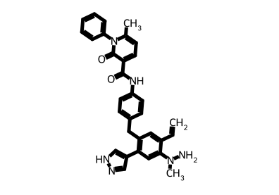 C=Cc1cc(Cc2ccc(NC(=O)c3ccc(C)n(-c4ccccc4)c3=O)cc2)c(-c2cn[nH]c2)cc1N(C)N